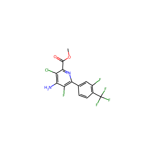 COC(=O)c1nc(-c2ccc(C(F)(F)F)c(F)c2)c(F)c(N)c1Cl